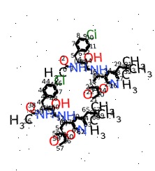 CC(=O)N[C@@H](Cc1ccc(Cl)cc1)[C@H](O)CN[C@H]1C[C@@]2(CCOC2)Oc2ncc(CC(C)(C)C)cc21.CC(=O)N[C@@H](Cc1ccc(Cl)cc1)[C@H](O)CN[C@H]1C[C@]2(CCOC2)Oc2ncc(CC(C)(C)C)cc21